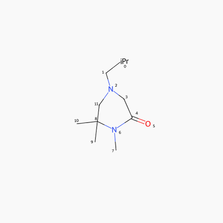 CC(C)CN1CC(=O)N(C)C(C)(C)C1